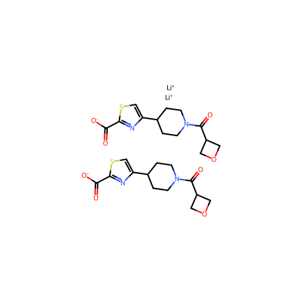 O=C([O-])c1nc(C2CCN(C(=O)C3COC3)CC2)cs1.O=C([O-])c1nc(C2CCN(C(=O)C3COC3)CC2)cs1.[Li+].[Li+]